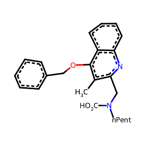 CCCCCN(Cc1nc2ccccc2c(OCc2ccccc2)c1C)C(=O)O